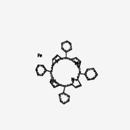 C1=Cc2nc1c(-c1ccccc1)c1ccc([nH]1)c(-c1ccccc1)c1nc(c(-c3ccccc3)c3ccc([nH]3)c2-c2ccccc2)C=C1.[Fe]